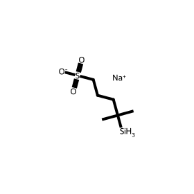 CC(C)([SiH3])CCCS(=O)(=O)[O-].[Na+]